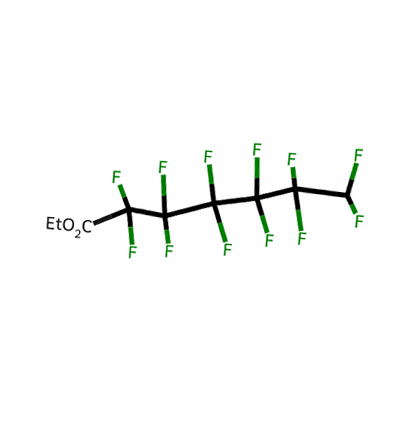 CCOC(=O)C(F)(F)C(F)(F)C(F)(F)C(F)(F)C(F)(F)C(F)F